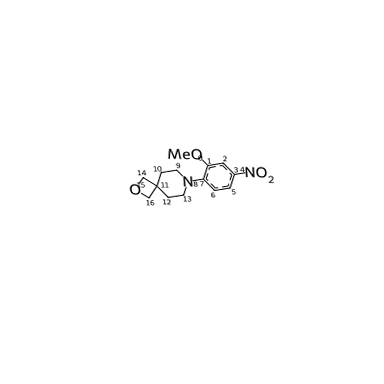 COc1cc([N+](=O)[O-])ccc1N1CCC2(CC1)COC2